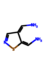 N/C=c1/cns/c1=C/N